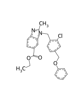 CCOC(=O)c1ccc2nc(C)n(Cc3ccc(COc4ccccc4)cc3Cl)c2c1